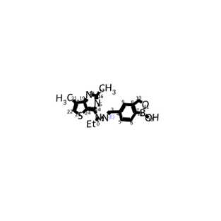 CCN(/N=C/c1ccc2c(c1)COB2O)c1nc(C)nc2c(C)csc12